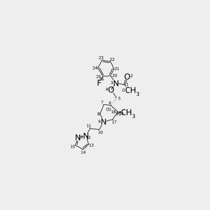 CC(=O)N(OC[C@H]1CCN(CCn2cccn2)C[C@@H]1C)c1ccccc1F